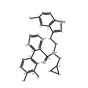 Cc1ccc2[nH]cc(CCN(CC3CC3)C(=O)c3nccnc3-c3ccc(C)c(C)c3)c2c1